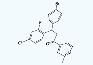 Cc1cc(C(=O)CC(c2ccc(Br)cc2)c2ccc(Cl)cc2F)ccn1